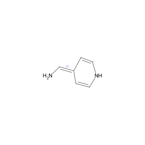 N/C=C1/C=[C]NC=C1